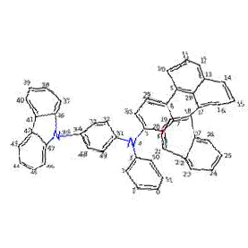 c1ccc(N(c2ccc(-c3cccc4cccc(-c5cccc6ccccc56)c34)cc2)c2ccc(-n3c4ccccc4c4ccccc43)cc2)cc1